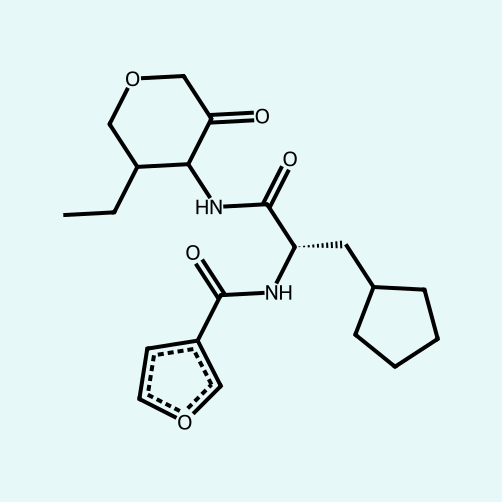 CCC1COCC(=O)C1NC(=O)[C@H](CC1CCCC1)NC(=O)c1ccoc1